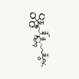 COC(=O)[C@@H](CCCCNC(=O)OC(C)(C)C)NC(=O)[C@H](N)CCC(=O)NC(c1ccccc1)(c1ccccc1)c1ccccc1